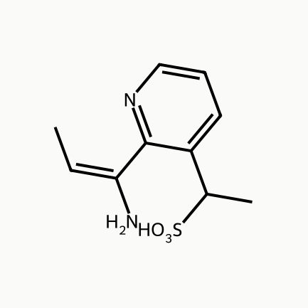 C/C=C(/N)c1ncccc1C(C)S(=O)(=O)O